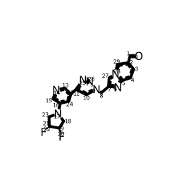 O=Cc1ccc2nc(Cn3cc(-c4cncc(N5C[C@@H](F)[C@H](F)C5)c4)nn3)cn2c1